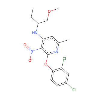 CCC(COC)Nc1cc(C)nc(Oc2ccc(Cl)cc2Cl)c1[N+](=O)[O-]